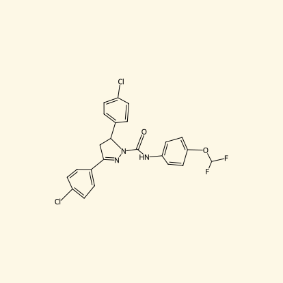 O=C(Nc1ccc(OC(F)F)cc1)N1N=C(c2ccc(Cl)cc2)CC1c1ccc(Cl)cc1